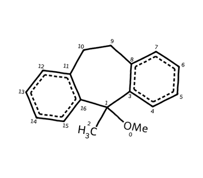 COC1(C)c2ccccc2CCc2ccccc21